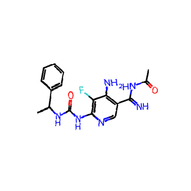 CC(=O)NC(=N)c1cnc(NC(=O)NC(C)c2ccccc2)c(F)c1N